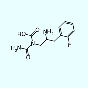 NC(=O)N(CC(N)Cc1ccccc1F)C(=O)O